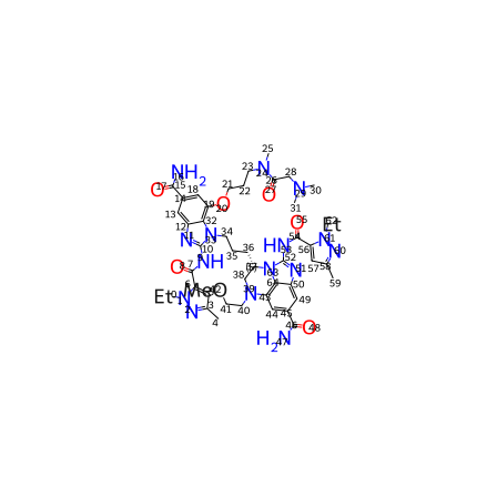 CCn1nc(C)cc1C(=O)Nc1nc2cc(C(N)=O)cc(OCCCN(C)C(=O)CN(C)C)c2n1CCC[C@H]1CN(CCOC)c2cc(C(N)=O)cc3nc(NC(=O)c4cc(C)nn4CC)n1c23